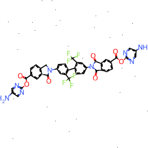 Nc1cnc(OC(=O)c2ccc3c(c2)C(=O)N(c2ccc(-c4ccc(N5C(=O)c6ccc(C(=O)Oc7ncc(N)cn7)cc6C5=O)cc4C(F)(F)F)c(C(F)(F)F)c2)C3)nc1